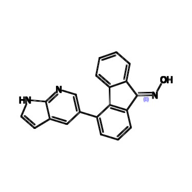 O/N=C1\c2ccccc2-c2c1cccc2-c1cnc2[nH]ccc2c1